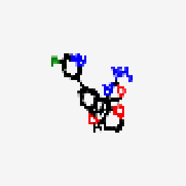 NC1=NC2(CO1)c1cc(-c3cncc(F)c3)ccc1O[C@H]1CCCO[C@@H]12